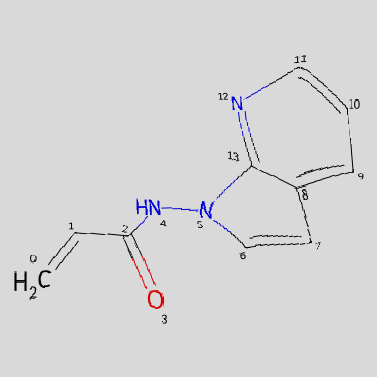 C=CC(=O)Nn1ccc2cccnc21